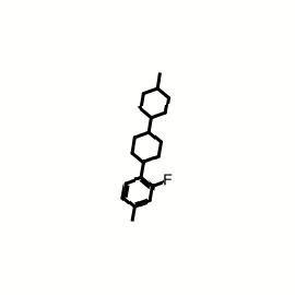 Cc1ccc(C2CCC(C3CCC(C)CC3)CC2)c(F)c1